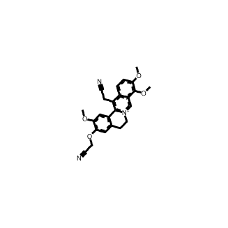 COc1cc2c(cc1OCC#N)CC[n+]1cc3c(OC)c(OC)ccc3c(CC#N)c1-2